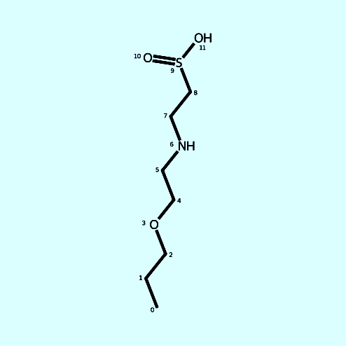 CCCOCCNCCS(=O)O